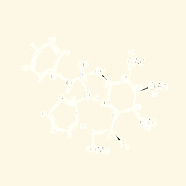 COC[C@H](F)C1O[C@@H](OP(=O)(Oc2ccccc2)Oc2ccccc2)[C@H](OC(C)=O)[C@@H](OC(C)=O)[C@@H]1OC(C)=O